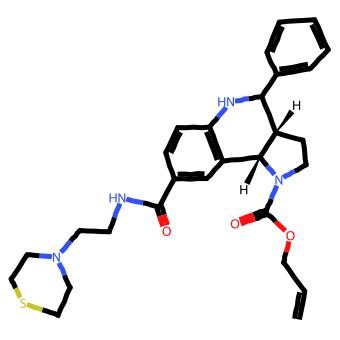 C=CCOC(=O)N1CC[C@H]2C(c3ccccc3)Nc3ccc(C(=O)NCCN4CCSCC4)cc3[C@H]21